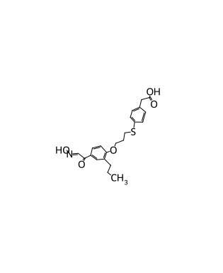 CCCc1cc(C(=O)C=NO)ccc1OCCCSc1ccc(CC(=O)O)cc1